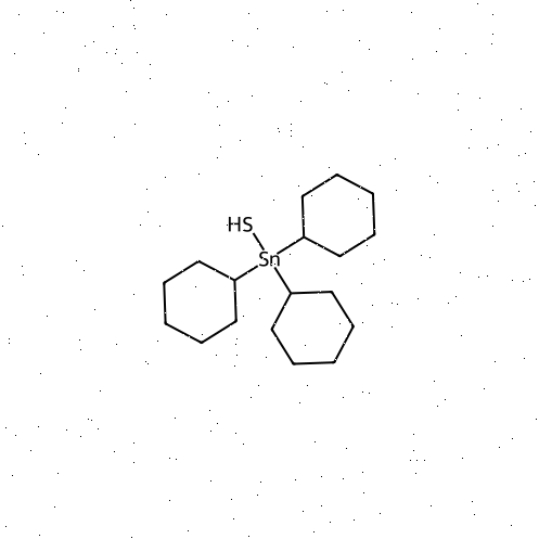 [SH][Sn]([CH]1CCCCC1)([CH]1CCCCC1)[CH]1CCCCC1